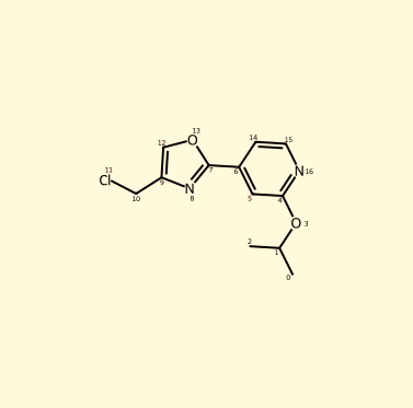 CC(C)Oc1cc(-c2nc(CCl)co2)ccn1